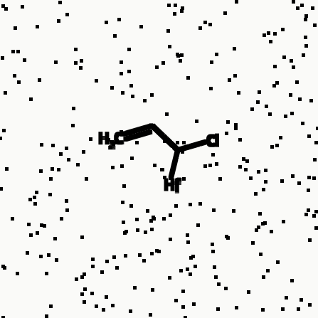 C=C[CH](Cl)[Hf]